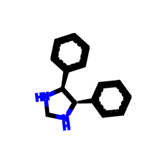 c1ccc([C@@H]2NCN[C@H]2c2ccccc2)cc1